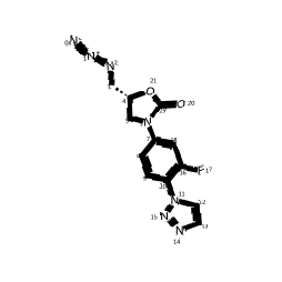 [N-]=[N+]=NC[C@H]1CN(c2ccc(-n3ccnn3)c(F)c2)C(=O)O1